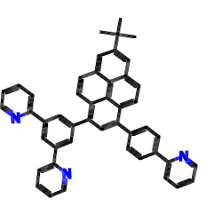 CC(C)(C)c1cc2ccc3c(-c4ccc(-c5ccccn5)cc4)cc(-c4cc(-c5ccccn5)cc(-c5ccccn5)c4)c4ccc(c1)c2c34